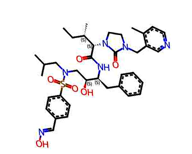 CC[C@H](C)[C@@H](C(=O)N[C@@H](Cc1ccccc1)[C@@H](O)CN(CC(C)C)S(=O)(=O)c1ccc(C=NO)cc1)N1CCN(Cc2cnccc2C)C1=O